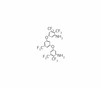 Nc1cc(Oc2cc(Oc3cc(N)c(C(F)(F)F)c(C(F)(F)F)c3)cc(C(F)(F)F)c2)cc(C(F)(F)F)c1C(F)(F)F